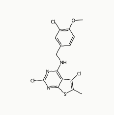 COc1ccc(CNc2nc(Cl)nc3sc(C)c(Cl)c23)cc1Cl